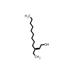 [CH2]CC(=CCO)CCCCCCCCC